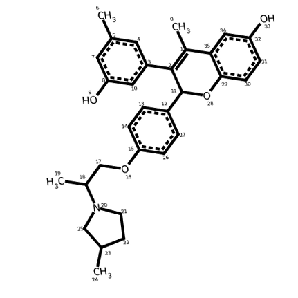 CC1=C(c2cc(C)cc(O)c2)C(c2ccc(OCC(C)N3CCC(C)C3)cc2)Oc2ccc(O)cc21